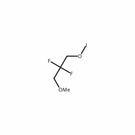 COCC(F)(F)COI